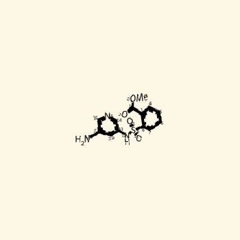 COC(=O)c1ccccc1S(=O)(=O)Nc1cncc(N)c1